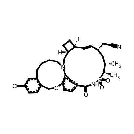 C[C@@H]1[C@@H](C)C[C@H](CC#N)/C=C/[C@@H]2CC[C@H]2CN2CCCCc3cc(Cl)ccc3COc3ccc(cc32)C(=O)NS1(=O)=O